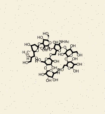 CC(=O)NC1[C@H](O[C@@H]2C(O)[C@H](O[C@@H]3C(CO)O[C@@H](O)C(O)[C@H]3O)OC(CO)[C@@H]2O)OC(CO[C@@H]2OC(CO)[C@@H](O[C@@H]3OC(CO)[C@H](O)[C@H](O)C3O)[C@H](O)C2O)[C@@H](O[C@@H]2O[C@@H](CO)[C@H](O)C(O[C@]3(C(=O)O)C[C@@H](O)[C@@H](C)C([C@H](O)[C@H](O)CO)O3)C2O)[C@@H]1O